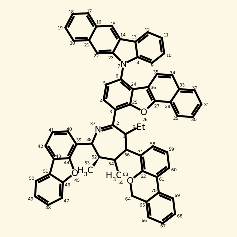 CCC1C(c2ccc(-n3c4ccccc4c4cc5ccccc5cc43)c3c2oc2c4ccccc4ccc23)=NC(c2cccc3c2oc2ccccc23)[C@H](C)C(C)C1c1cccc2c1OCc1ccccc1-2